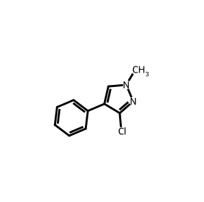 Cn1cc(-c2ccccc2)c(Cl)n1